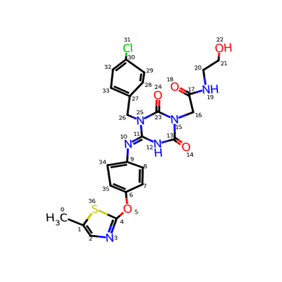 Cc1cnc(Oc2ccc(/N=c3\[nH]c(=O)n(CC(=O)NCCO)c(=O)n3Cc3ccc(Cl)cc3)cc2)s1